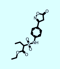 CCOC(=O)C(CC)S(=O)(=O)Nc1ccc(C2=NOC(=O)C2)cc1